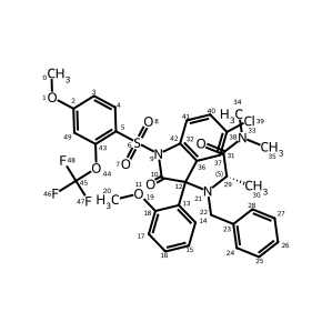 COc1ccc(S(=O)(=O)N2C(=O)C(c3ccccc3OC)(N(Cc3ccccc3)[C@@H](C)C(=O)N(C)C)c3cc(Cl)ccc32)c(OC(F)(F)F)c1